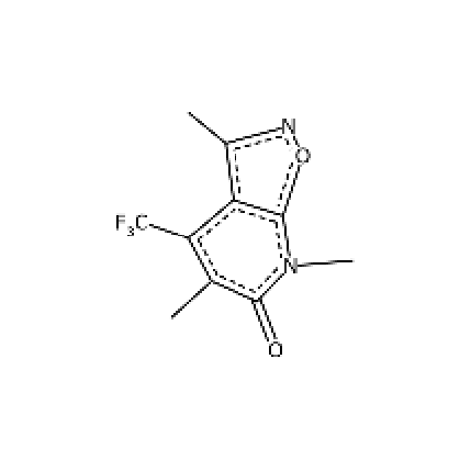 Cc1c(C(F)(F)F)c2c(C)noc2n(C)c1=O